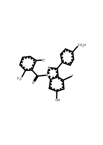 O=C(O)c1ccc(-c2nn(C(=O)c3c(Cl)cccc3C(F)(F)F)c3cc(O)cc(F)c23)cc1